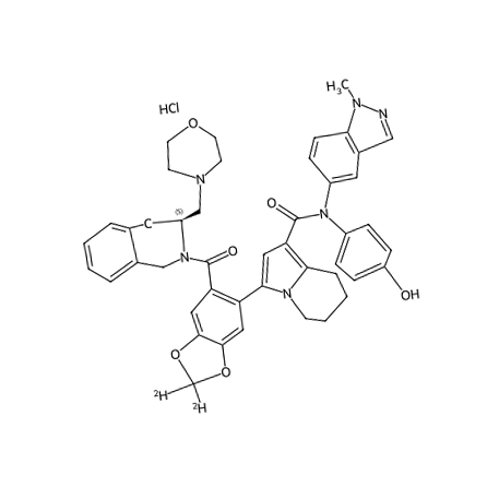 Cl.[2H]C1([2H])Oc2cc(C(=O)N3Cc4ccccc4C[C@H]3CN3CCOCC3)c(-c3cc(C(=O)N(c4ccc(O)cc4)c4ccc5c(cnn5C)c4)c4n3CCCC4)cc2O1